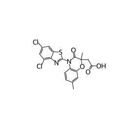 Cc1ccc2c(c1)OC(C)(CC(=O)O)C(=O)N2c1nc2c(Cl)cc(Cl)cc2s1